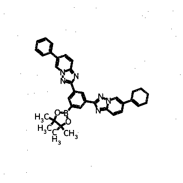 CC1(C)OB(c2cc(-c3nc4ccc(C5=CCCCC5)cn4n3)cc(-c3nc4ccc(-c5ccccc5)cn4n3)c2)OC1(C)C